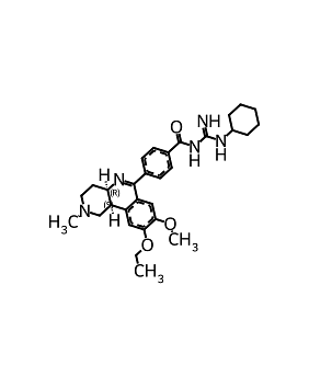 CCOc1cc2c(cc1OC)C(c1ccc(C(=O)NC(=N)NC3CCCCC3)cc1)=N[C@@H]1CCN(C)C[C@H]21